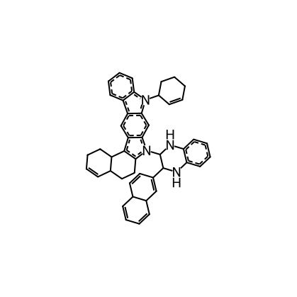 C1=CC2C=CC(C3Nc4ccccc4NC3n3c4c(c5cc6c7ccccc7n(C7C=CCCC7)c6cc53)C3CCC=CC3CC4)=CC2C=C1